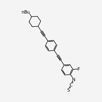 CCCCC1CCC(C#Cc2ccc(C#Cc3ccc(N=C=S)c(F)c3)cc2)CC1